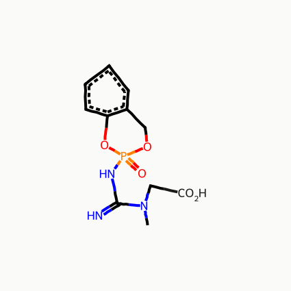 CN(CC(=O)O)C(=N)NP1(=O)OCc2ccccc2O1